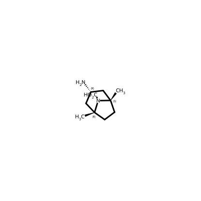 C[C@]12CC[C@](C)(C[C@H](N)C1)N2C(=O)O